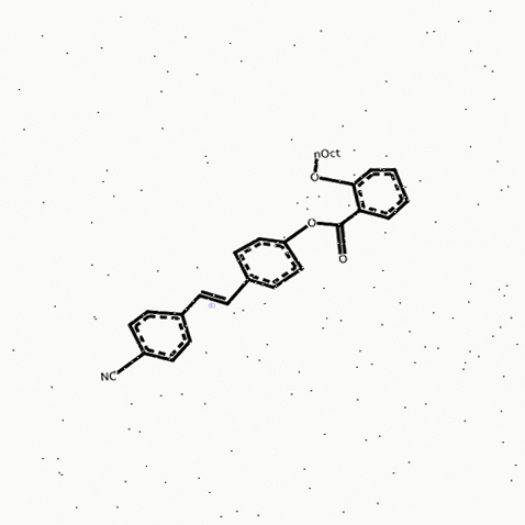 CCCCCCCCOc1ccccc1C(=O)Oc1ccc(/C=C/c2ccc(C#N)cc2)cc1